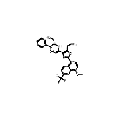 COc1ccc(-c2nc(C(=O)N[C@@H](CO)[C@H](O)c3ccccc3)c(CN)o2)c2ccc(C(F)(F)F)nc12